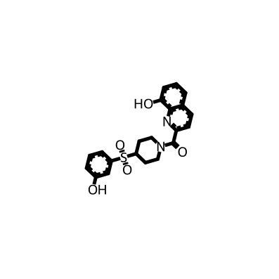 O=C(c1ccc2cccc(O)c2n1)N1CCC(S(=O)(=O)c2cccc(O)c2)CC1